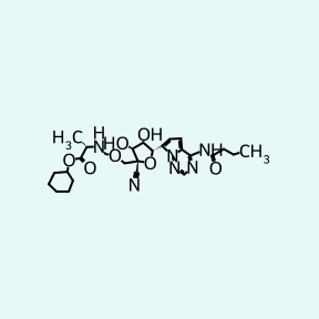 CCCC(=O)Nc1ncnn2c([C@@H]3O[C@](C#N)(COCN[C@@H](C)C(=O)OC4CCCCC4)[C@@H](O)[C@H]3O)ccc12